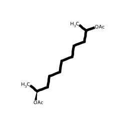 CC(=O)OC(C)CCCCCCC[C@H](C)OC(C)=O